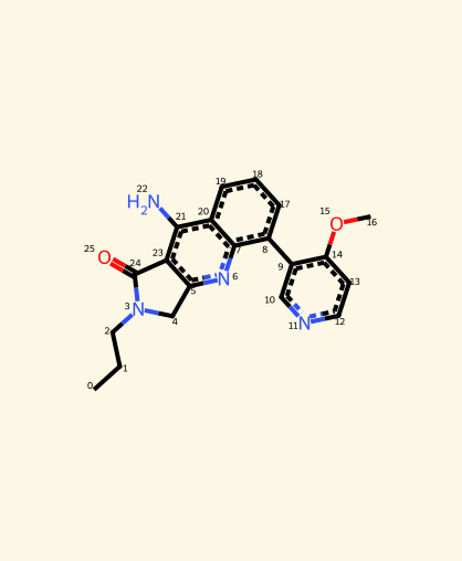 CCCN1Cc2nc3c(-c4cnccc4OC)cccc3c(N)c2C1=O